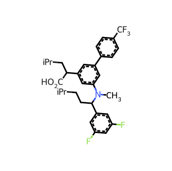 CC(C)CCC(c1cc(F)cc(F)c1)N(C)c1cc(-c2ccc(C(F)(F)F)cc2)cc(C(CC(C)C)C(=O)O)c1